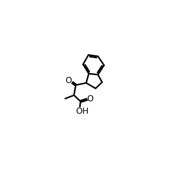 CC(C(=O)O)C(=O)C1CCc2ccccc21